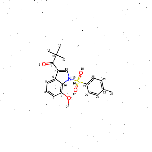 COc1cccc2c(C(=O)C(C)(C)C)cn(S(=O)(=O)c3ccc(C)cc3)c12